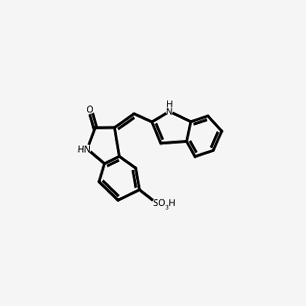 O=C1Nc2ccc(S(=O)(=O)O)cc2C1=Cc1cc2ccccc2[nH]1